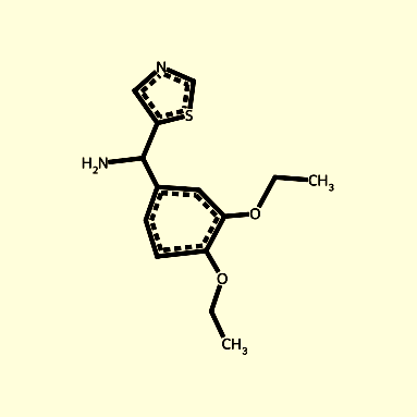 CCOc1ccc(C(N)c2cncs2)cc1OCC